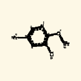 CCCc1cnc(OC(C)C)c(Cl)c1